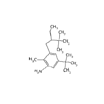 CCC(Cc1cc(C(C)(C)C)cc(N)c1C)C(C)(C)C